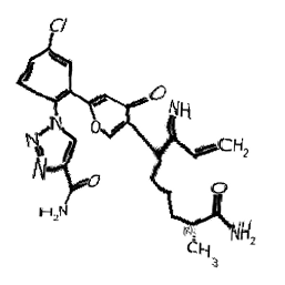 C=CC(=N)C(CCC[C@@H](C)C(N)=O)c1coc(-c2cc(Cl)ccc2-n2cc(C(N)=O)nn2)cc1=O